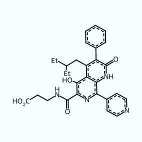 CCC(CC)Cc1c(-c2ccccc2)c(=O)[nH]c2c(-c3ccncc3)nc(C(=O)NCCC(=O)O)c(O)c12